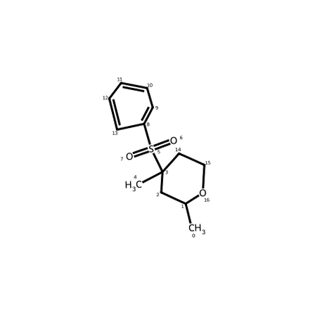 CC1CC(C)(S(=O)(=O)c2ccccc2)CCO1